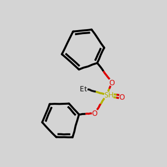 CC[SH](=O)(Oc1ccccc1)Oc1ccccc1